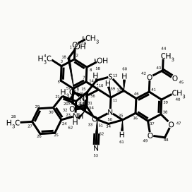 COc1c(C)cc2c(c1O)[C@H]1[C@@H]3[C@@H]4SC[C@]5(N[C@H](CO)Cc6c5[nH]c5ccc(C)cc65)C(=O)OC[C@@H](c5c6c(c(C)c(OC(C)=O)c54)OCO6)N3[C@@H](C#N)[C@H](C2)N1C